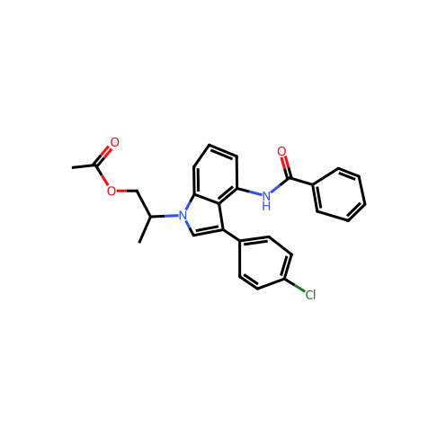 CC(=O)OCC(C)n1cc(-c2ccc(Cl)cc2)c2c(NC(=O)c3ccccc3)cccc21